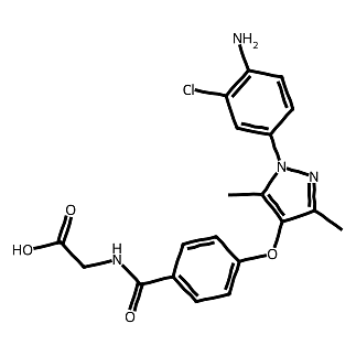 Cc1nn(-c2ccc(N)c(Cl)c2)c(C)c1Oc1ccc(C(=O)NCC(=O)O)cc1